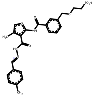 Cc1ccc(/C=N/NC(=O)c2c(C)csc2NC(=O)c2cccc(CSCCS(=O)(=O)O)c2)cc1